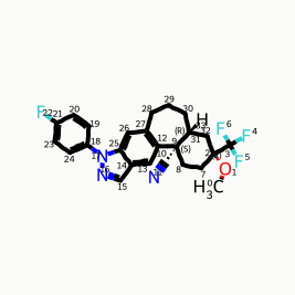 CO[C@]1(C(F)(F)F)CC[C@@]2(C#N)c3cc4cnn(-c5ccc(F)cc5)c4cc3CCC[C@@H]2C1